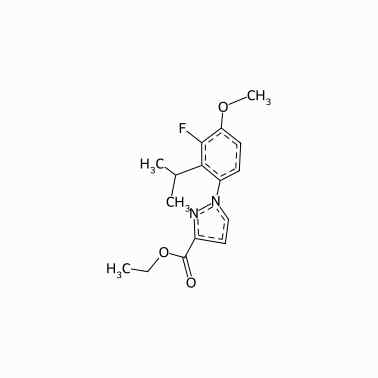 CCOC(=O)c1ccn(-c2ccc(OC)c(F)c2C(C)C)n1